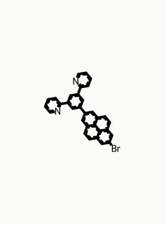 Brc1cc2ccc3cc(-c4cc(-c5ccccn5)cc(-c5ccccn5)c4)cc4ccc(c1)c2c34